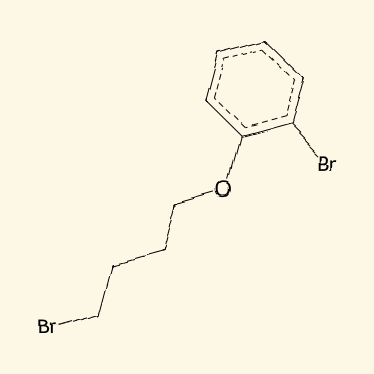 BrCCCCOc1ccccc1Br